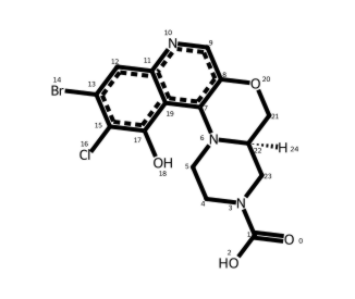 O=C(O)N1CCN2c3c(cnc4cc(Br)c(Cl)c(O)c34)OC[C@H]2C1